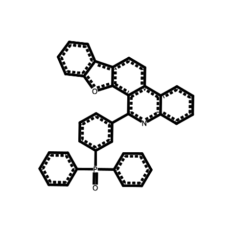 O=P(c1ccccc1)(c1ccccc1)c1cccc(-c2nc3ccccc3c3ccc4c5ccccc5oc4c23)c1